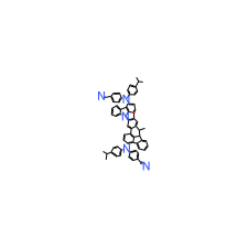 CC(C)c1ccc(N(c2ccc(C#N)cc2)c2ccc3c4c2-c2ccccc2C4C(C)c2cc4c5ccc(N(c6ccc(C#N)cc6)c6ccc(C(C)C)cc6)c6c7ccccc7n(c4cc2-3)c56)cc1